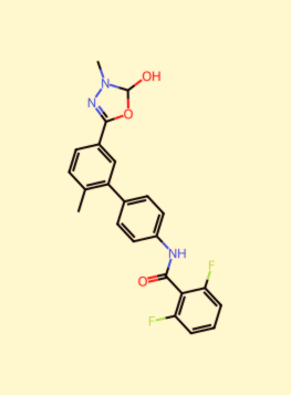 Cc1ccc(C2=NN(C)C(O)O2)cc1-c1ccc(NC(=O)c2c(F)cccc2F)cc1